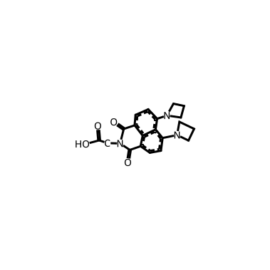 O=C(O)CN1C(=O)c2ccc(N3CCC3)c3c(N4CCC4)ccc(c23)C1=O